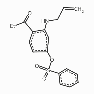 C=CCNc1cc(OS(=O)(=O)c2ccccc2)ccc1C(=O)CC